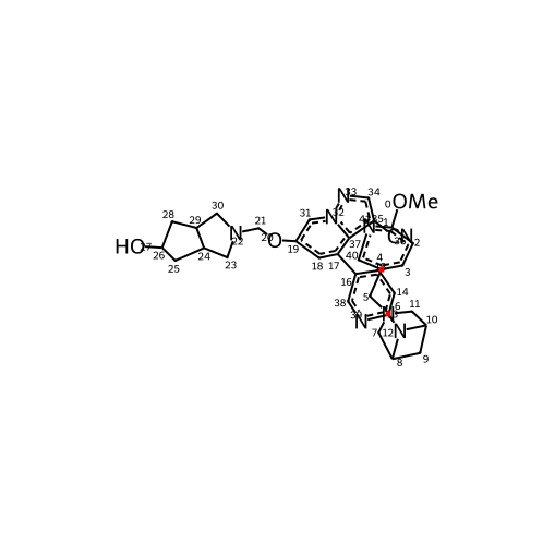 COc1ccc(CN2CC3CC(C2)N3c2ccc(-c3cc(OCN4CC5CC(O)CC5C4)cn4ncc(C#N)c34)cn2)cn1